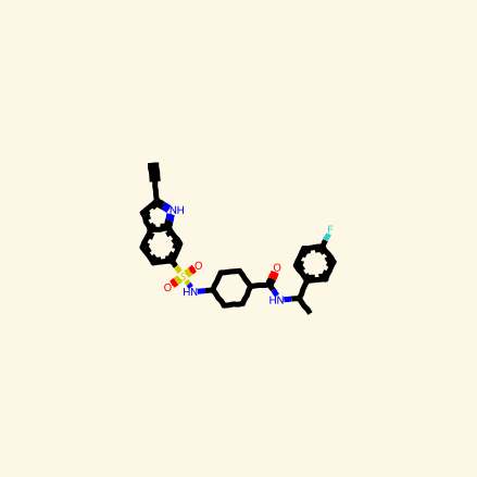 C#Cc1cc2ccc(S(=O)(=O)NC3CCC(C(=O)NC(C)c4ccc(F)cc4)CC3)cc2[nH]1